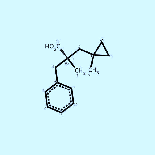 CC1(C[C@](C)(Cc2ccccc2)C(=O)O)CC1